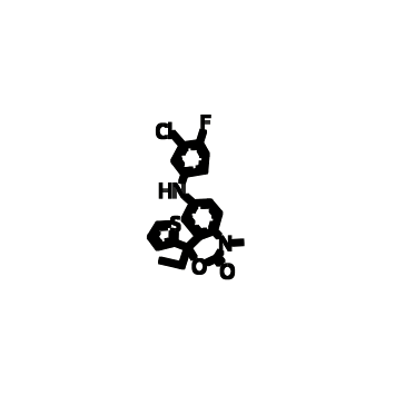 CCC1(c2cccs2)OC(=O)N(C)c2ccc(Nc3ccc(F)c(Cl)c3)cc21